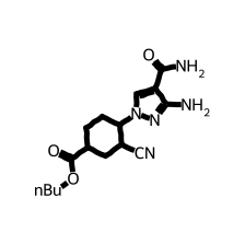 CCCCOC(=O)C1CCC(n2cc(C(N)=O)c(N)n2)C(C#N)C1